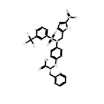 O=C(O)[C@H](Cc1ccccc1)Oc1ccc(N(Cc2ccc([N+](=O)[O-])o2)S(=O)(=O)c2cccc(C(F)(F)F)c2)cc1